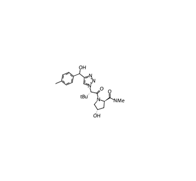 CNC(=O)[C@H]1C[C@H](O)CN1C(=O)[C@@H](n1cc(C(O)c2ccc(C)cc2)nn1)C(C)(C)C